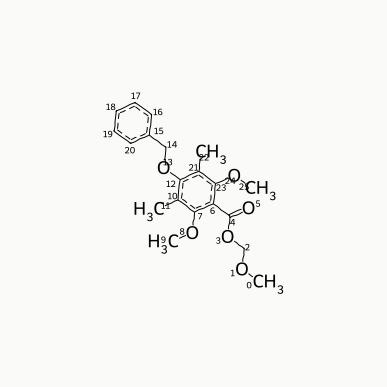 COCOC(=O)c1c(OC)c(C)c(OCc2ccccc2)c(C)c1OC